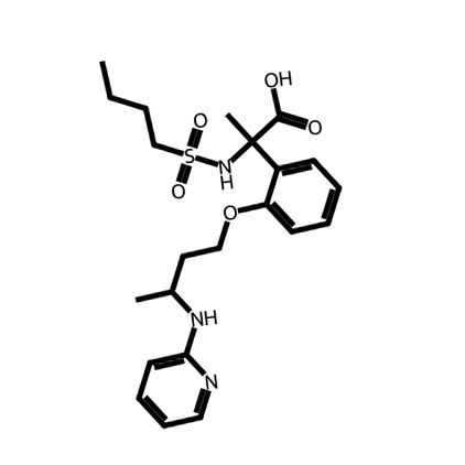 CCCCS(=O)(=O)NC(C)(C(=O)O)c1ccccc1OCCC(C)Nc1ccccn1